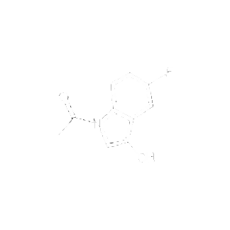 CC(=O)n1cc(O)c2cc(F)ccc21